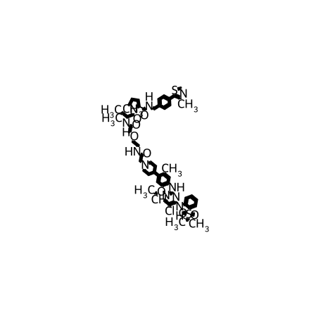 Cc1cc(Nc2ncc(Cl)c(Nc3ccccc3S(=O)(=O)C(C)C)n2)c(OC(C)C)cc1C1CCN(CC(=O)NCCOCC(=O)N[C@H](C(=O)N2CCC[C@H]2C(=O)NCc2ccc(-c3scnc3C)cc2)C(C)(C)C)CC1